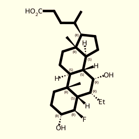 CC[C@H]1[C@@H](O)[C@@H]2[C@H](CC[C@]3(C)[C@@H](C(C)CCC(=O)O)CC[C@@H]23)[C@@]2(C)CC[C@@H](O)[C@H](F)[C@@H]12